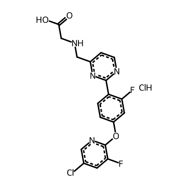 Cl.O=C(O)CNCc1ccnc(-c2ccc(Oc3ncc(Cl)cc3F)cc2F)n1